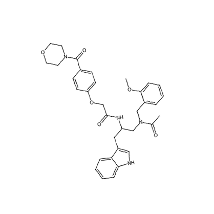 COc1ccccc1CN(CC(Cc1c[nH]c2ccccc12)NC(=O)COc1ccc(C(=O)N2CCOCC2)cc1)C(C)=O